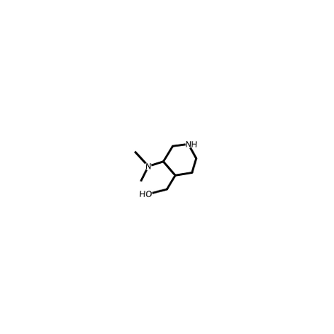 CN(C)C1CNCCC1CO